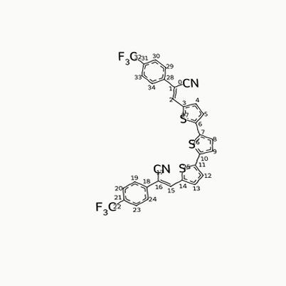 N#C/C(=C\c1ccc(-c2ccc(-c3ccc(/C=C(\C#N)c4ccc(C(F)(F)F)cc4)s3)s2)s1)c1ccc(C(F)(F)F)cc1